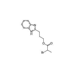 CC(Br)C(=O)OCCCc1nc2ccccc2[nH]1